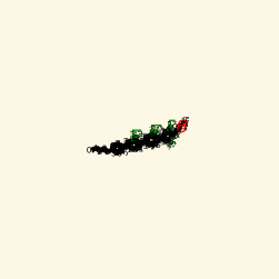 CCCCCc1ccc(-c2ccc(-c3ccc(-c4cc(F)c(C=COC)c(F)c4)c(F)c3)c(F)c2)cc1